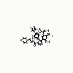 CC(C)C(=N)c1cc(-c2nnc(C(=O)NCCN3CCOCC3)n2-c2ccc(-n3ccnc3)cc2)c(O)cc1N